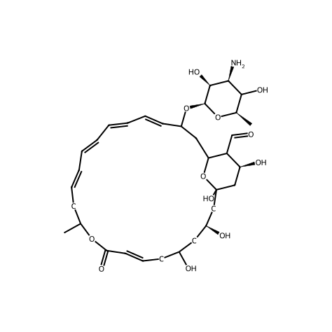 CC1C/C=C/C=C/C=C/C=C/C(O[C@@H]2O[C@H](C)C(O)[C@H](N)[C@@H]2O)CC2OC(O)(C[C@@H](O)CC(O)C/C=C/C(=O)O1)C[C@H](O)C2C=O